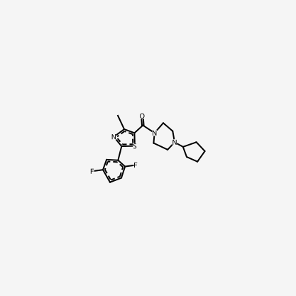 Cc1nc(-c2cc(F)ccc2F)sc1C(=O)N1CCN(C2CCCC2)CC1